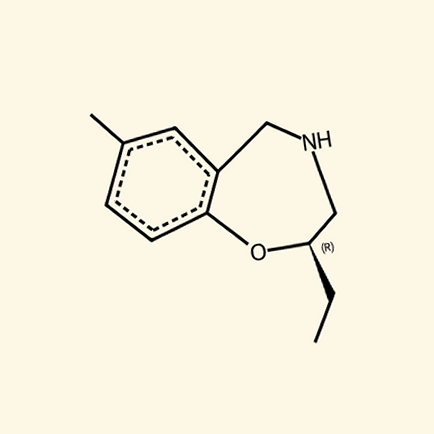 CC[C@@H]1CNCc2cc(C)ccc2O1